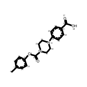 Cc1ccc(OC(=O)N2CCN(c3ccc(C(=O)O)cc3)CC2)cc1